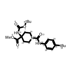 COC(=O)C1(NC(=O)OC(C)(C)C)CCN(C(=O)Nc2ccc(C(C)(C)C)cc2)CC1